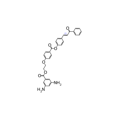 Nc1cc(N)cc(C(=O)OCCOc2ccc(C(=O)Oc3ccc(/C=C/C(=O)c4ccccc4)cc3)cc2)c1